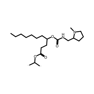 [CH2]C([CH2])OC(=O)CCC(CCCCCCC)OC(=O)NCC1CCCN1C